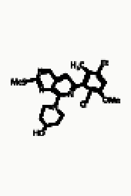 CCc1cc(OC)c(Cl)c(-c2cc3cnc(SC)nc3c(N3CCC(O)CC3)n2)c1C